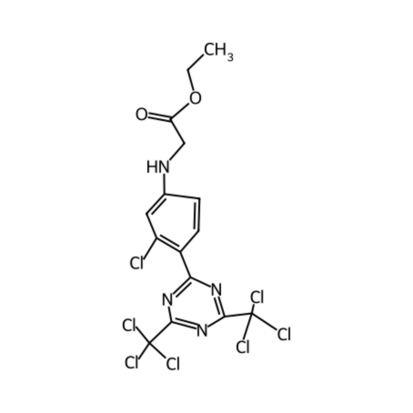 CCOC(=O)CNc1ccc(-c2nc(C(Cl)(Cl)Cl)nc(C(Cl)(Cl)Cl)n2)c(Cl)c1